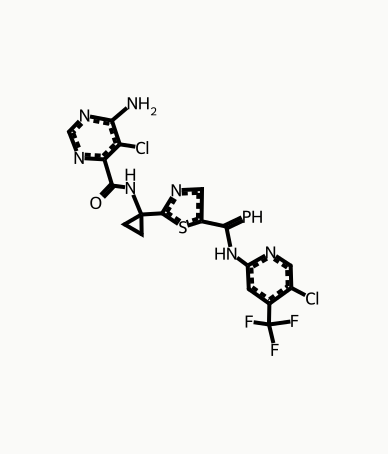 Nc1ncnc(C(=O)NC2(c3ncc(C(=P)Nc4cc(C(F)(F)F)c(Cl)cn4)s3)CC2)c1Cl